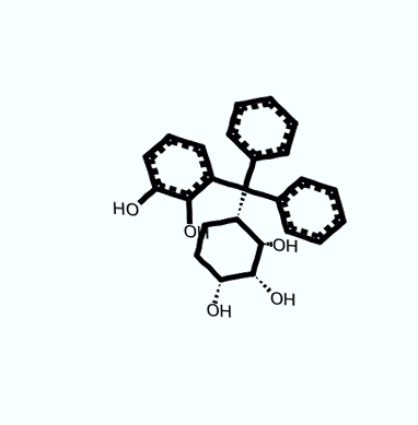 Oc1cccc(C(c2ccccc2)(c2ccccc2)[C@H]2CC[C@@H](O)[C@@H](O)[C@H]2O)c1O